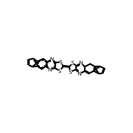 C1=CC2CC1C1=C2CC2N=C3SC(=C4Sc5nc6cc7c(cc6nc5S4)C4C=CC7C4)SC3=NC2=C1